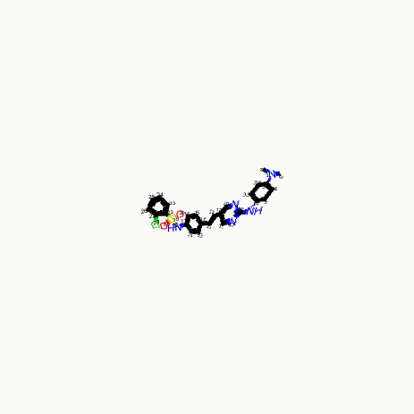 CN(C)[C@H]1CC[C@H](Nc2ncc(/C=C/c3ccc(NS(=O)(=O)c4ccccc4Cl)cc3)cn2)CC1